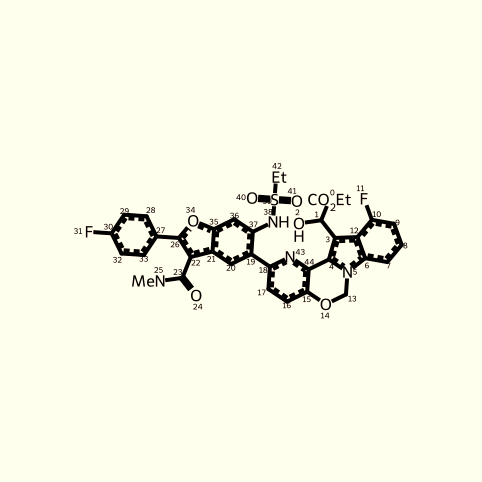 CCOC(=O)C(O)c1c2n(c3cccc(F)c13)COc1ccc(-c3cc4c(C(=O)NC)c(-c5ccc(F)cc5)oc4cc3NS(=O)(=O)CC)nc1-2